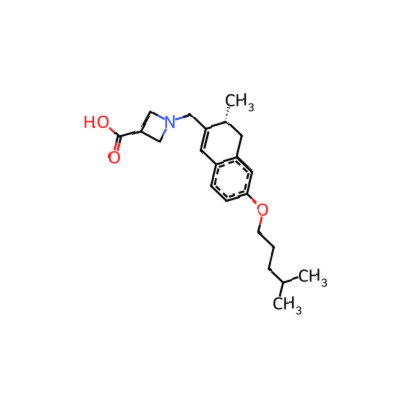 CC(C)CCCOc1ccc2c(c1)C[C@@H](C)C(CN1CC(C(=O)O)C1)=C2